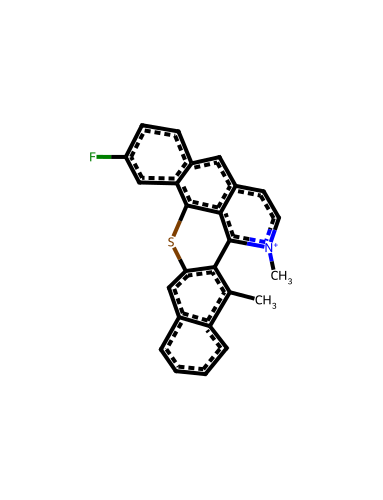 Cc1c2c(cc3ccccc13)Sc1c3cc(F)ccc3cc3cc[n+](C)c-2c13